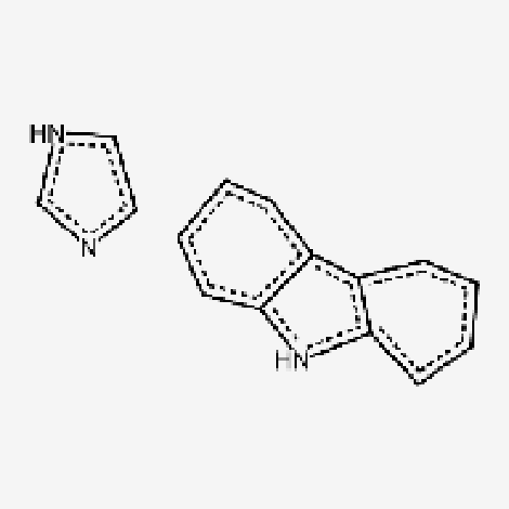 c1c[nH]cn1.c1ccc2c(c1)[nH]c1ccccc12